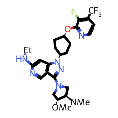 CCNc1cc2c(cn1)c(N1C[C@@H](NC)[C@H](OC)C1)nn2[C@H]1CC[C@@H](Oc2nccc(C(F)(F)F)c2F)CC1